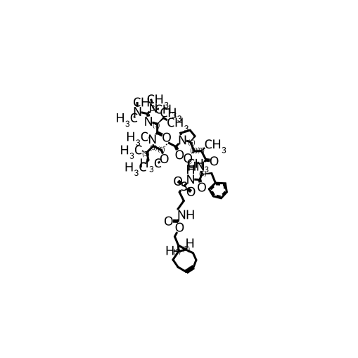 CC[C@H](C)[C@@H]([C@H](CC(=O)N1CCC[C@H]1[C@H](OC)[C@@H](C)C(=O)N[C@@H](Cc1ccccc1)C(=O)NS(=O)(=O)CCCNC(=O)OCC1[C@H]2CCC#CCC[C@@H]12)OC)N(C)C(=O)[C@@H](N=C(N(C)C)N(C)C)C(C)C